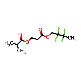 CC(C)C(=O)OCCC(=O)OCC(F)(F)C(C)(F)F